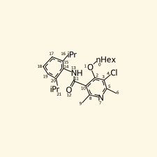 CCCCCCOc1c(Cl)c(C)nc(C)c1C(=O)Nc1c(C(C)C)cccc1C(C)C